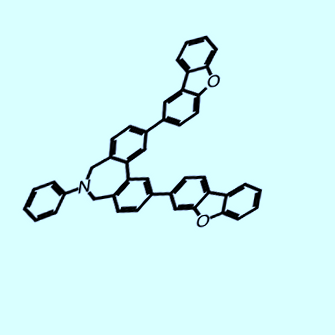 c1ccc(N2Cc3ccc(-c4ccc5c(c4)oc4ccccc45)cc3-c3cc(-c4ccc5oc6ccccc6c5c4)ccc3C2)cc1